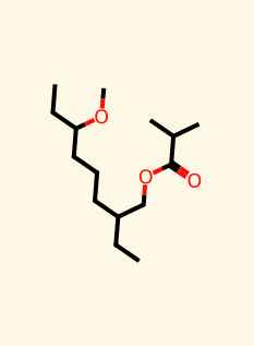 CCC(CCCC(CC)OC)COC(=O)C(C)C